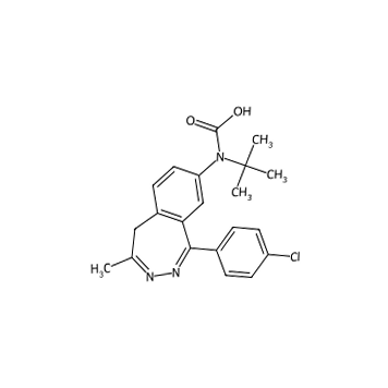 CC1=NN=C(c2ccc(Cl)cc2)c2cc(N(C(=O)O)C(C)(C)C)ccc2C1